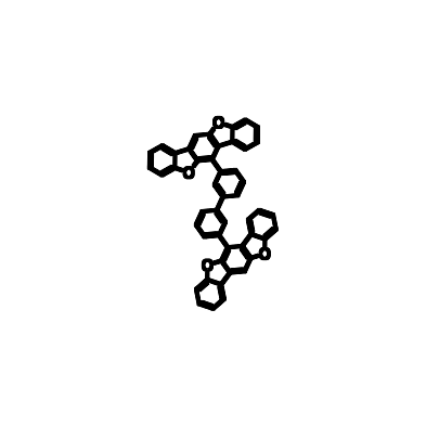 c1cc(-c2cccc(-c3c4oc5ccccc5c4cc4oc5ccccc5c34)c2)cc(-c2c3oc4ccccc4c3cc3oc4ccccc4c23)c1